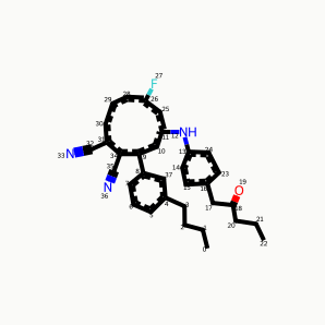 CCCCc1cccc(-c2cc(Nc3ccc(CC(=O)CCC)cc3)cc(F)cccc(C#N)c2C#N)c1